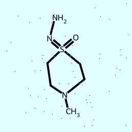 CN1CCS(=O)(=NN)CC1